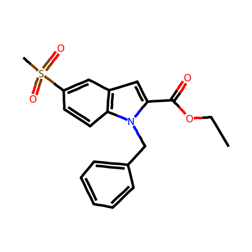 CCOC(=O)c1cc2cc(S(C)(=O)=O)ccc2n1Cc1ccccc1